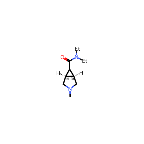 CCN(CC)C(=O)C1[C@H]2CN(C)C[C@@H]12